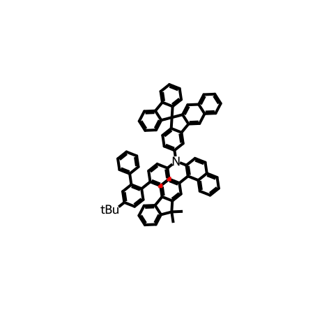 CC(C)(C)c1ccc(-c2ccc(N(c3ccc4c(c3)-c3cc5ccccc5cc3C43c4ccccc4-c4ccccc43)c3ccc4ccccc4c3-c3ccc4c(c3)C(C)(C)c3ccccc3-4)cc2)c(-c2ccccc2)c1